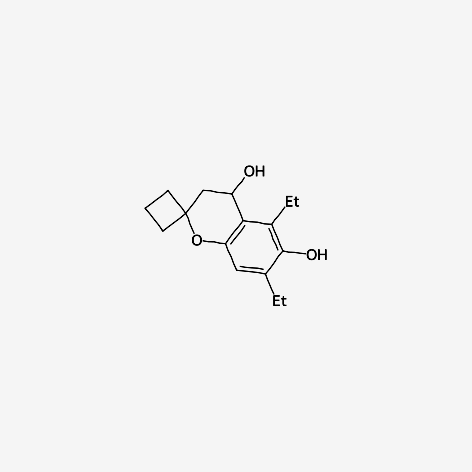 CCc1cc2c(c(CC)c1O)C(O)CC1(CCC1)O2